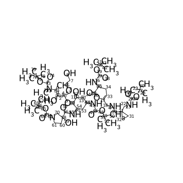 C[C@@H]([C@@H](O)[C@H](OCCO)O[C@@H]1[C@@H](O)[C@H](O[C@H]2OC(CNCC3(CNC(=O)OC(C)(C)C)CC3)=CC[C@H]2NC(=O)OC(C)(C)C)[C@@H](NC(=O)OC(C)(C)C)C[C@H]1NC(=O)C1(O)CCN(C(=O)OC(C)(C)C)C1)N(C)C(=O)OC(C)(C)C